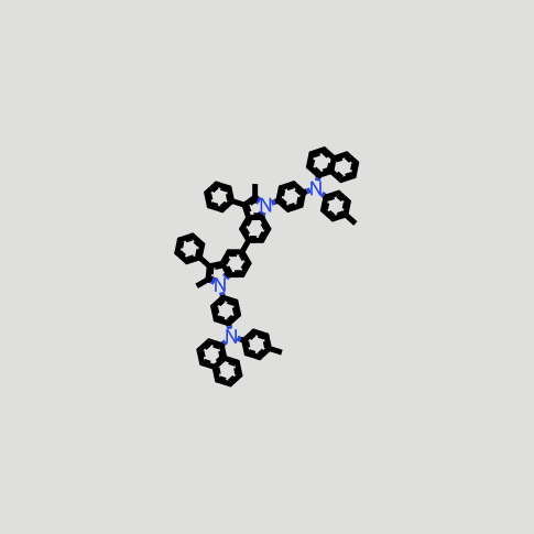 Cc1ccc(N(c2ccc(-n3c(C)c(-c4ccccc4)c4cc(-c5ccc6c(c5)c(-c5ccccc5)c(C)n6-c5ccc(N(c6ccc(C)cc6)c6cccc7ccccc67)cc5)ccc43)cc2)c2cccc3ccccc23)cc1